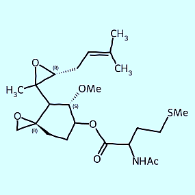 CO[C@@H]1C(OC(=O)C(CCSC)NC(C)=O)CC[C@]2(CO2)C1C1(C)O[C@@H]1CC=C(C)C